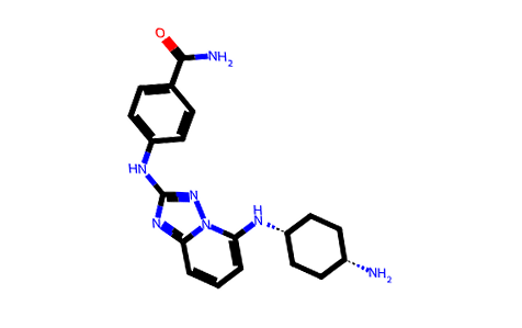 NC(=O)c1ccc(Nc2nc3cccc(N[C@H]4CC[C@@H](N)CC4)n3n2)cc1